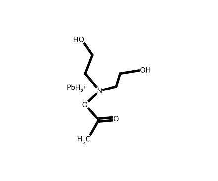 CC(=O)ON(CCO)CCO.[PbH2]